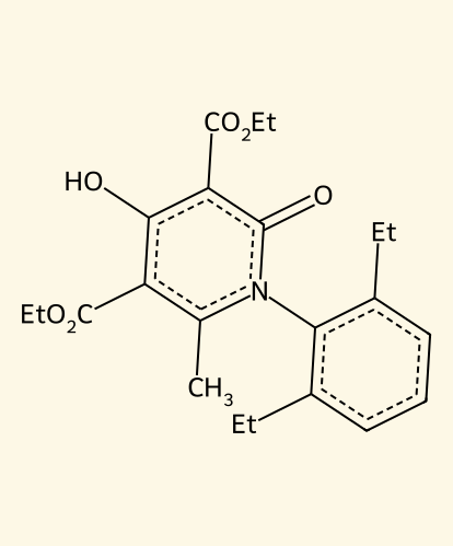 CCOC(=O)c1c(O)c(C(=O)OCC)c(=O)n(-c2c(CC)cccc2CC)c1C